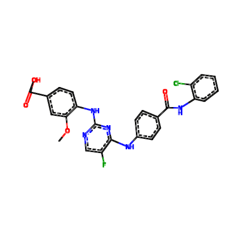 COc1cc(C(=O)O)ccc1Nc1ncc(F)c(Nc2ccc(C(=O)Nc3ccccc3Cl)cc2)n1